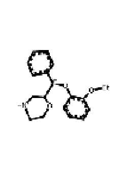 CCOc1ccccc1O[C@H](c1ccccc1)C1CNCCO1